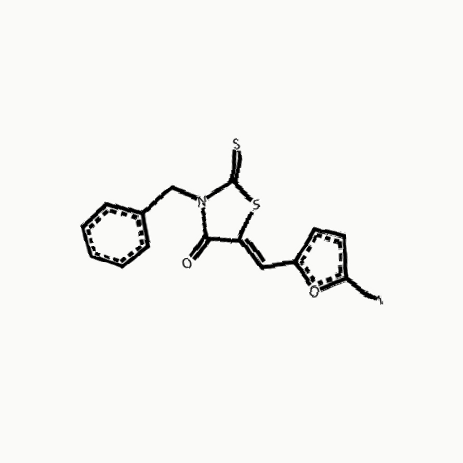 O=C1/C(=C/c2ccc(I)o2)SC(=S)N1Cc1ccccc1